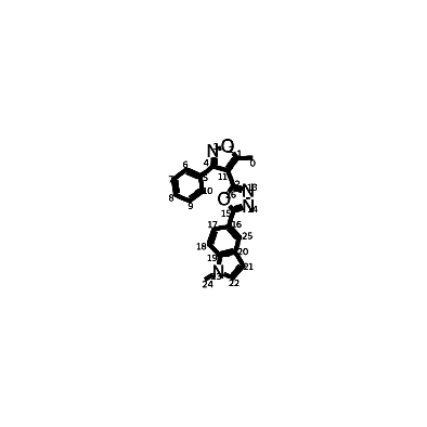 Cc1onc(-c2ccccc2)c1-c1nnc(-c2ccc3c(ccn3C)c2)o1